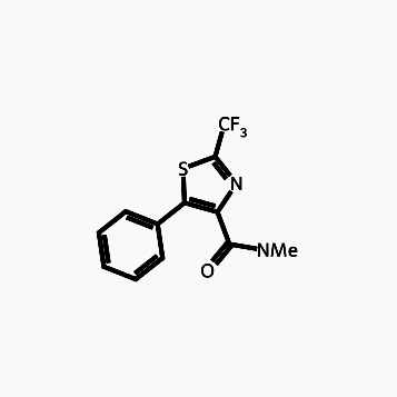 CNC(=O)c1nc(C(F)(F)F)sc1-c1ccccc1